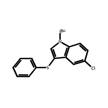 CCC(C)n1cc(Sc2ccccc2)c2cc(Cl)ccc21